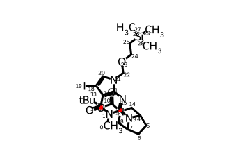 Cn1c(N2C3CCC2CN(C(=O)OC(C)(C)C)C3)nc2c(c(I)cn2COCC[Si](C)(C)C)c1=O